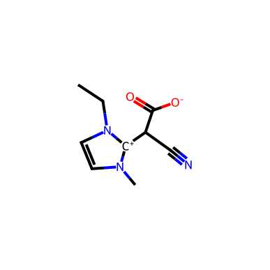 CCn1ccn(C)[c+]1C(C#N)C(=O)[O-]